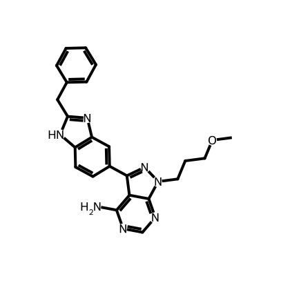 COCCCn1nc(-c2ccc3[nH]c(Cc4ccccc4)nc3c2)c2c(N)ncnc21